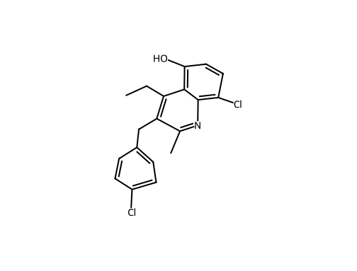 CCc1c(Cc2ccc(Cl)cc2)c(C)nc2c(Cl)ccc(O)c12